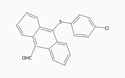 O=Cc1c2ccccc2c(Sc2ccc(Cl)cc2)c2ccccc12